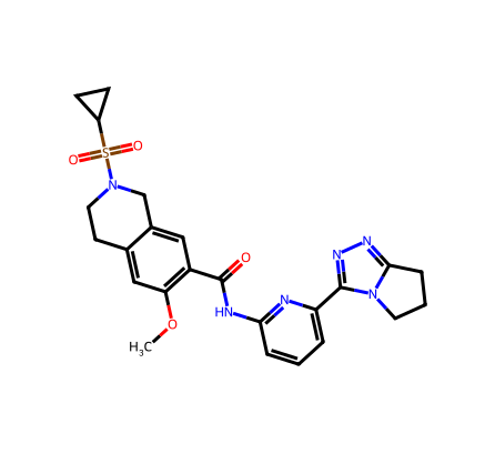 COc1cc2c(cc1C(=O)Nc1cccc(-c3nnc4n3CCC4)n1)CN(S(=O)(=O)C1CC1)CC2